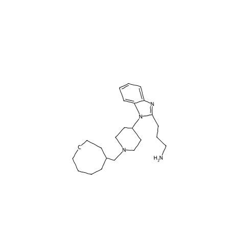 NCCCc1nc2ccccc2n1C1CCN(CC2CCCCCCC2)CC1